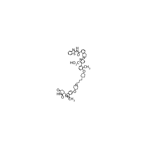 Cc1c(O[C@H]2CC[C@H](CCCCN3CCC(Oc4ccc5c(C6CCC(=O)NC6=O)nn(C)c5c4)CC3)CC2)cccc1-c1ccc(N2CCc3cccc(C(=O)Nc4nc5ccccc5s4)c3C2)nc1C(=O)O